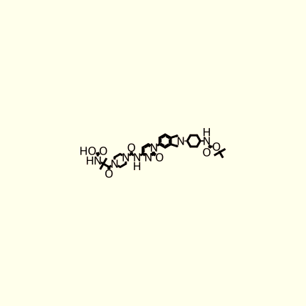 CC(C)(C)OC(=O)N[C@H]1CC[C@H](N2Cc3ccc(-n4ccc(NC(=O)N5CCN(C(=O)C(C)(C)NC(=O)O)CC5)nc4=O)cc3C2)CC1